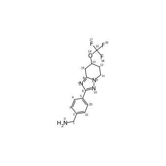 NCc1ccc(-c2nc3n(n2)CCC(OC(F)(F)F)C3)cc1